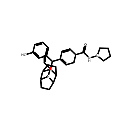 C=CCN1C2CCC1C1CCC2N1C(C1=CCC(C(=O)NN2CCCC2)C=C1)c1cccc(O)c1